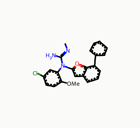 CN=C(N)N(c1cc2cccc(-c3ccccc3)c2o1)c1cc(Cl)ccc1OC